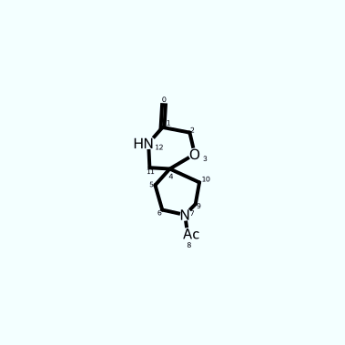 C=C1COC2(CCN(C(C)=O)CC2)CN1